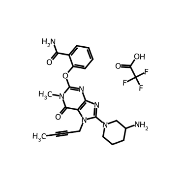 CC#CCn1c(N2CCCC(N)C2)nc2nc(Oc3ccccc3C(N)=O)n(C)c(=O)c21.O=C(O)C(F)(F)F